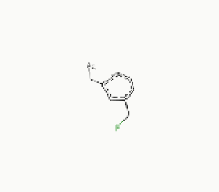 CC(=O)Cc1cccc(CF)c1